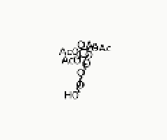 CC(=O)OCC1OC(OCCOCCOCCO)C(OC(C)=O)C(OC(C)=O)C1OC(C)=O